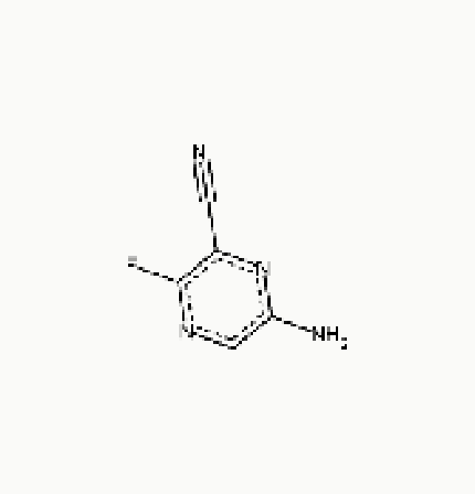 N#Cc1nc(N)cnc1F